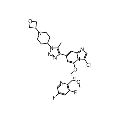 CO[C@@H](COc1cc(-c2nnn(C3CCN(C4COC4)CC3)c2C)cc2ncc(Cl)n12)c1ncc(F)cc1F